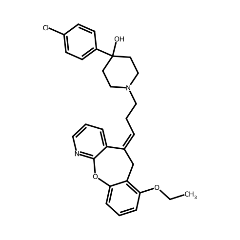 CCOc1cccc2c1C/C(=C/CCN1CCC(O)(c3ccc(Cl)cc3)CC1)c1cccnc1O2